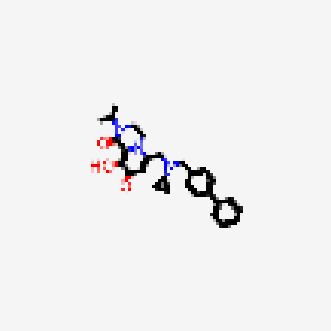 CC(C)N1CCn2c(CN(Cc3ccc(-c4ccccc4)cc3)C3CC3)cc(=O)c(O)c2C1=O